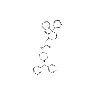 O=C(CN1CCCC(c2ccccc2)(c2ccccc2)C1=O)NC1CCN(C(c2ccccc2)c2ccccc2)CC1